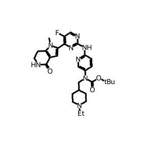 CCN1CCC(CN(C(=O)OC(C)(C)C)c2ccc(Nc3ncc(F)c(-c4cc5c(n4C)CCNC5=O)n3)nc2)CC1